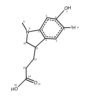 [2H]c1cc2c(cc1O)N(C)CC2CCC(=O)O